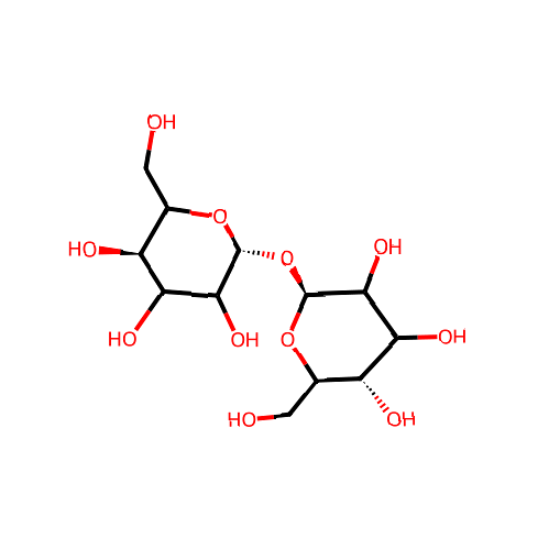 OCC1O[C@@H](O[C@H]2OC(CO)[C@H](O)C(O)C2O)C(O)C(O)[C@@H]1O